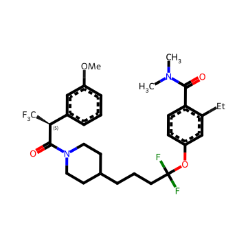 CCc1cc(OC(F)(F)CCCC2CCN(C(=O)[C@H](c3cccc(OC)c3)C(F)(F)F)CC2)ccc1C(=O)N(C)C